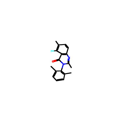 Cc1cccc(C)c1-n1c(C)nc2ccc(C)c(F)c2c1=O